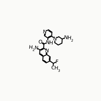 CC(F)c1ccc2cc(N)c(C(=O)Nc3cnccc3N3CCCC(N)C3)nc2c1